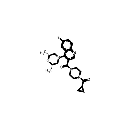 C[C@@H]1CN(c2c(C(=O)N3CCN(C(=O)C4CC4)CC3)cnc3ccc(F)cc23)C[C@H](C)O1